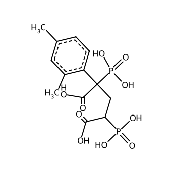 Cc1ccc(C(CC(C(=O)O)P(=O)(O)O)(C(=O)O)P(=O)(O)O)c(C)c1